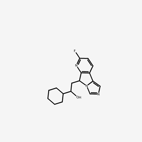 OC(CC1c2nc(F)ccc2-c2cncn21)C1CCCCC1